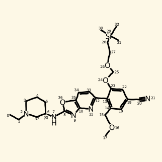 CCN1CCC[C@@H](Nc2nc3nc(-c4c(COC)cc(C#N)cc4OCOCC[Si](C)(C)C)ccc3o2)C1